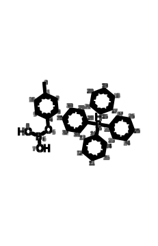 Cc1ccc(OB(O)O)cc1.c1ccc([PH](c2ccccc2)(c2ccccc2)c2ccccc2)cc1